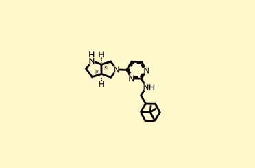 CC1(C)C2CCC(CNc3nccc(N4C[C@H]5CCN[C@H]5C4)n3)C1C2